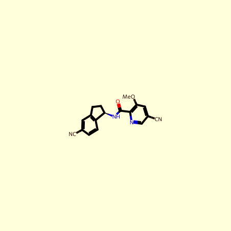 COc1cc(C#N)cnc1C(=O)N[C@@H]1CCc2cc(C#N)ccc21